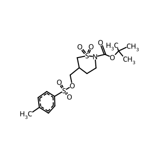 Cc1ccc(S(=O)(=O)OCC2CCN(C(=O)OC(C)(C)C)S(=O)(=O)C2)cc1